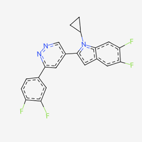 Fc1ccc(-c2cc(-c3cc4cc(F)c(F)cc4n3C3CC3)cnn2)cc1F